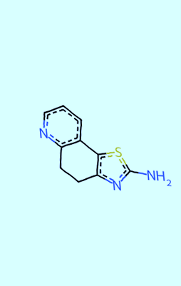 Nc1nc2c(s1)-c1cccnc1CC2